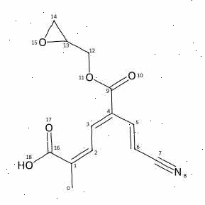 CC(=CC=C(C=CC#N)C(=O)OCC1CO1)C(=O)O